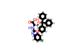 O=C(O)[C@H](CSC(c1ccccc1)(c1ccccc1)c1ccccc1)Nc1nc2ccc(F)cc2o1